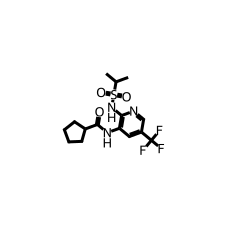 CC(C)S(=O)(=O)Nc1ncc(C(F)(F)F)cc1NC(=O)C1CCCC1